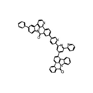 O=c1c2cc(-c3ccc(-c4cc(-c5ccc6c7ccccc7c(=O)n7c8ccccc8c5c67)cc(-c5ccccn5)n4)nc3)ccc2c2nccc3c4cc(-c5ccccc5)ccc4n1c32